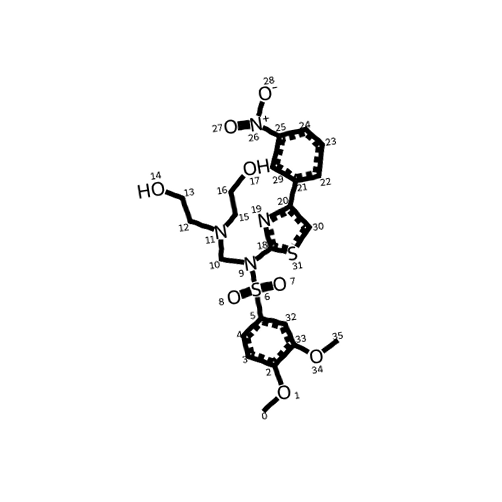 COc1ccc(S(=O)(=O)N(CN(CCO)CCO)c2nc(-c3cccc([N+](=O)[O-])c3)cs2)cc1OC